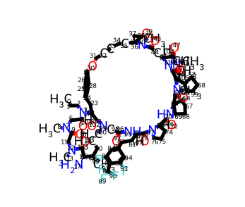 CCCN(C(=O)CN(C)C(=O)CN(C)C(=O)[C@@H](N)[C@@H](C)CC)[C@H]1Cc2ccc(cc2)OCCCCC[C@@]2(CC2=O)N(C)C(=O)C[C@@H](C(=O)N(C)C)N(C)C(=O)[C@H](C2CCCC2)N(C)C(=O)C2(CCCC2)NC(=O)[C@@H]2CCCN2C(=O)[C@H](CCc2cc(F)c(C(F)(F)F)c(F)c2)NC(=O)CN(C)C1=O